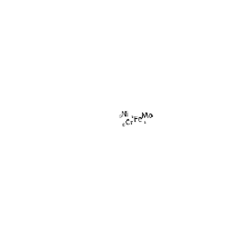 [Cr].[Fe].[Mo].[Ni]